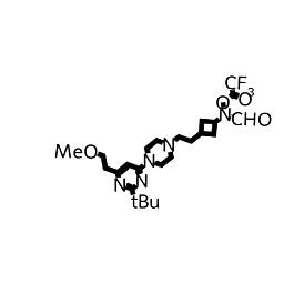 COCCc1cc(N2CCN(CCC3CC(N(C=O)OC(=O)C(F)(F)F)C3)CC2)nc(C(C)(C)C)n1